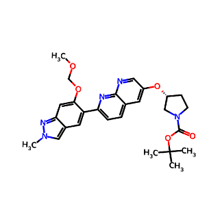 COCOc1cc2nn(C)cc2cc1-c1ccc2cc(O[C@@H]3CCN(C(=O)OC(C)(C)C)C3)cnc2n1